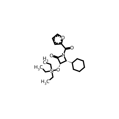 CC[Si](CC)(CC)O[C@@H]1C(=O)N(C(=O)c2ccco2)[C@@H]1C1CCCCC1